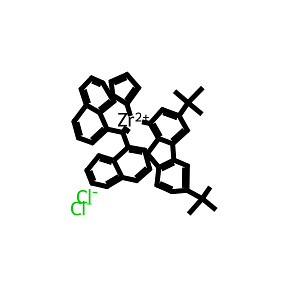 CC(C)(C)c1ccc2c(c1)-c1cc(C(C)(C)C)c[c]([Zr+2]([C]3=CC=CC3)=[C](c3cccc4ccccc34)c3cccc4ccccc34)c1C2.[Cl-].[Cl-]